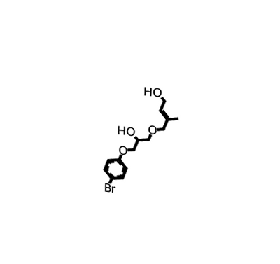 CC(=CCO)COCC(O)COc1ccc(Br)cc1